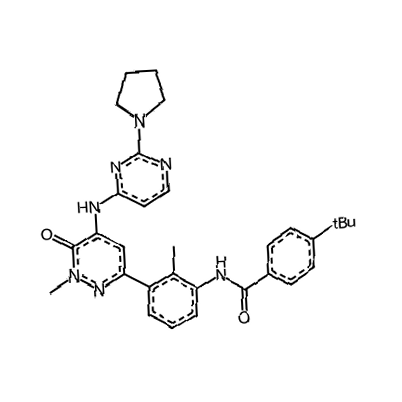 Cc1c(NC(=O)c2ccc(C(C)(C)C)cc2)cccc1-c1cc(Nc2ccnc(N3CCCC3)n2)c(=O)n(C)n1